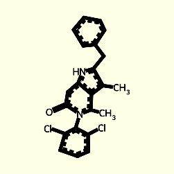 Cc1c(Cc2ccccc2)[nH]c2cc(=O)n(-c3c(Cl)cccc3Cl)c(C)c12